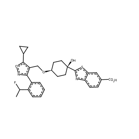 CC(F)c1ccccc1-c1noc(C2CC2)c1CO[C@H]1CC[C@](O)(c2nc3ccc(C(=O)O)cc3s2)CC1